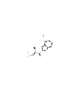 COc1cccc2[nH]c(C(=O)C(C#N)=CN(C)C)cc12